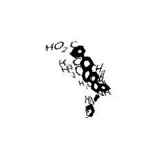 CC1(C)C(c2ccc(C(=O)O)cc2)=CC[C@@]2(C)C1CC[C@]1(C)C2CC[C@@H]2C3CCC[C@]3(NCCNC3CCSC3)CC[C@]21C